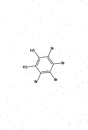 Sc1c(S)c(Br)c(Br)c(Br)c1Br